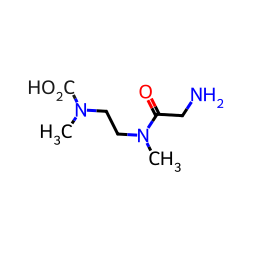 CN(CCN(C)C(=O)CN)C(=O)O